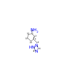 NC1C=C(CN2C=NCN2)CCC1